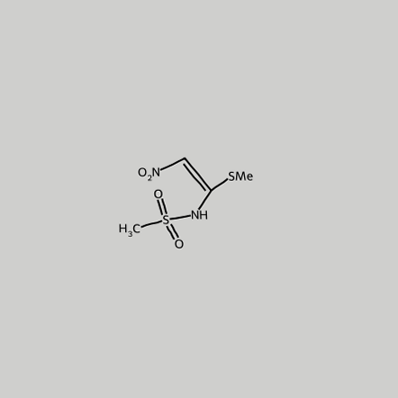 CSC(=C[N+](=O)[O-])NS(C)(=O)=O